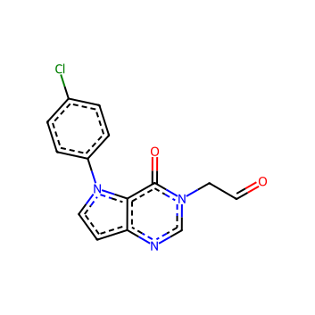 O=CCn1cnc2ccn(-c3ccc(Cl)cc3)c2c1=O